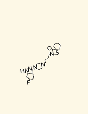 O=C1N(CCCCN2CCN(c3n[nH]c4cc(F)ccc34)CC2)CSC12CCCCC2